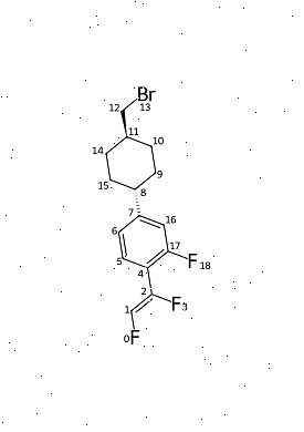 FC=C(F)c1ccc([C@H]2CC[C@H](CBr)CC2)cc1F